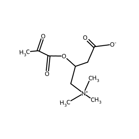 CC(=O)C(=O)OC(CC(=O)[O-])C[N+](C)(C)C